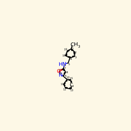 Cc1ccc(CNc2cc(-c3ccccc3)no2)cc1